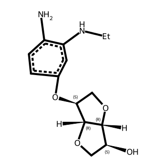 CCNc1cc(O[C@H]2CO[C@H]3[C@@H]2OC[C@@H]3O)ccc1N